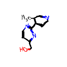 Cc1cnccc1-c1nccc(CO)n1